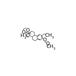 CCc1cc2c(cc1OCOC)CCC1C2CC[C@@]2(C)C1CCC21OCCO1